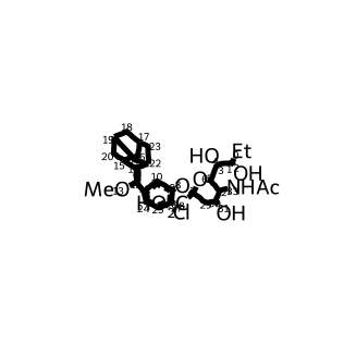 CCC(O)C(O)C1OC(Oc2cc(C(OC)=C3C4CC5CC(C4)CC3C5)ccc2Cl)(C(=O)O)CC(O)C1NC(C)=O